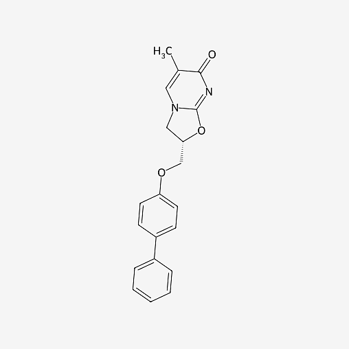 Cc1cn2c(nc1=O)O[C@H](COc1ccc(-c3ccccc3)cc1)C2